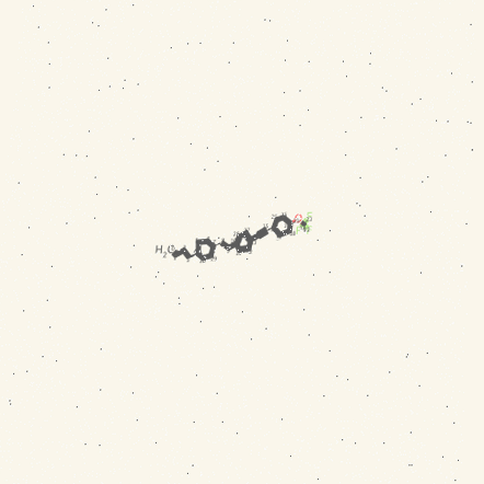 C=CCC[C@H]1CC[C@H](CCc2ccc(C#C[C@H]3CC[C@H](OC(F)(F)F)CC3)cc2)CC1